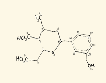 CC(CC(=O)O)CC(SCCC(=O)O)c1cccc(O)c1